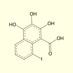 O=C(O)c1c(O)c(O)c(O)c2cccc(I)c12